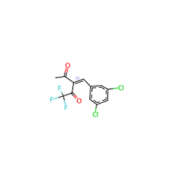 CC(=O)/C(=C/c1cc(Cl)cc(Cl)c1)C(=O)C(F)(F)F